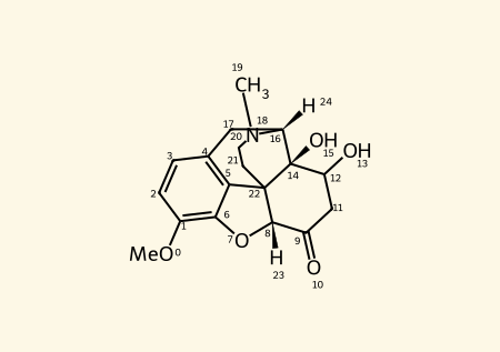 COc1ccc2c3c1O[C@H]1C(=O)CC(O)[C@@]4(O)[C@@H](C2)N(C)CCC314